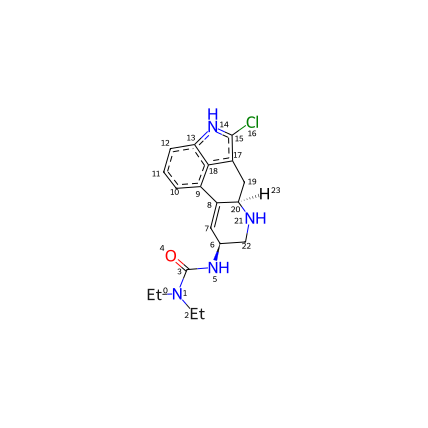 CCN(CC)C(=O)N[C@H]1C=C2c3cccc4[nH]c(Cl)c(c34)C[C@H]2NC1